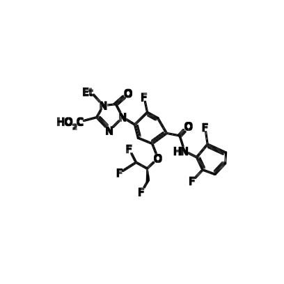 CCn1c(C(=O)O)nn(-c2cc(O[C@@H](CF)C(F)F)c(C(=O)Nc3c(F)cccc3F)cc2F)c1=O